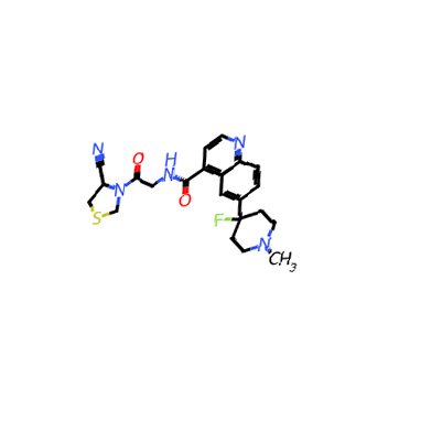 CN1CCC(F)(c2ccc3nccc(C(=O)NCC(=O)N4CSCC4C#N)c3c2)CC1